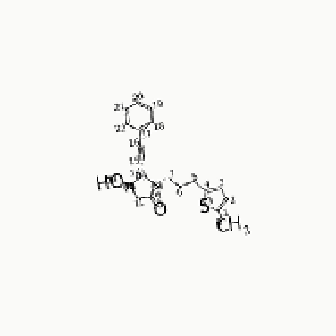 Cc1ccc(CCC[C@@H]2C(=O)C[C@@H](O)[C@@H]2C#Cc2ccccc2)s1